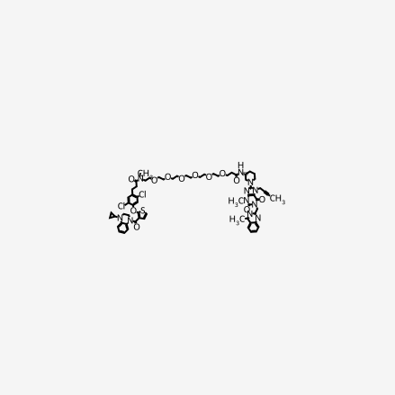 CC#CCn1c(N2CCC[C@@H](NC(=O)CCOCCOCCOCCOCCOCCOCCN(C)C(=O)CCc3cc(Cl)c(Oc4sccc4C(=O)N4CCN(C5CC5)c5ccccc54)cc3Cl)C2)nc2c1c(=O)n(Cc1nc(C)c3ccccc3n1)c(=O)n2C